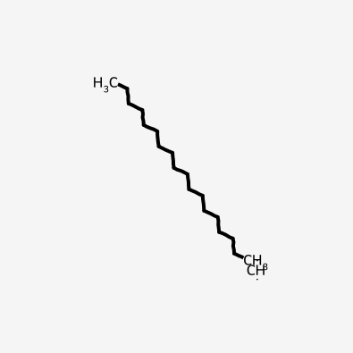 CCCCCCCCCCCCCCCCCC.[CH]